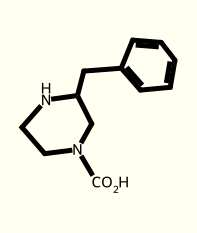 O=C(O)N1CCNC(Cc2ccccc2)C1